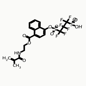 C=C(C)C(=O)NCCOC(=O)c1ccc(OS(=O)(=O)C(F)(F)C(F)(F)C(F)(F)S(=O)(=O)O)c2ccccc12